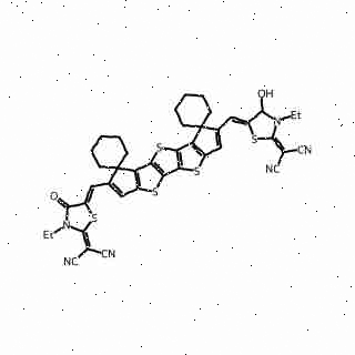 CCN1C(=C(C#N)C#N)S/C(=C\C2=Cc3sc4c(sc5c6c(sc54)C=C(/C=c4\sc(=C(C#N)C#N)n(CC)c4=O)C64CCCCC4)c3C23CCCCC3)C1O